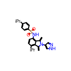 C=c1c2c(NS(=O)(=O)c3ccc(C(C)C)cc3)ccc(C(C)C)c2c(=C)n1-c1cn[nH]c1